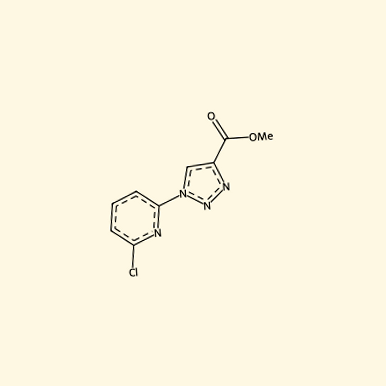 COC(=O)c1cn(-c2cccc(Cl)n2)nn1